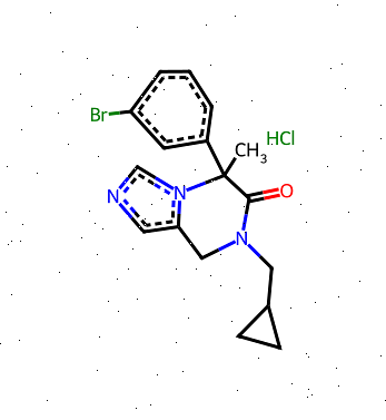 CC1(c2cccc(Br)c2)C(=O)N(CC2CC2)Cc2cncn21.Cl